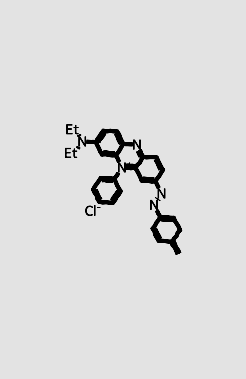 C=C1C=CC(N=Nc2ccc3nc4ccc(N(CC)CC)cc4[n+](-c4ccccc4)c3c2)=CC1.[Cl-]